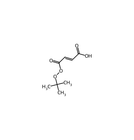 CC(C)(C)OOC(=O)/C=C/C(=O)O